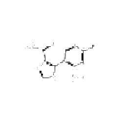 COC(=O)c1ncoc1-c1ccc(F)cc1C(=O)O